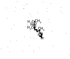 CCN(CCCC(C)OBOC(C)C)c1ncc(Br)cn1